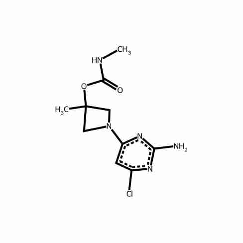 CNC(=O)OC1(C)CN(c2cc(Cl)nc(N)n2)C1